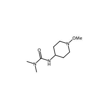 CON1CCC(NC(=O)N(C)C)CC1